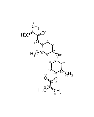 C=C(C)C(=O)OC1CCC(OC2CCC(OC(=O)C(=C)C)C(C)C2)CC1C